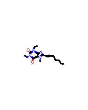 CCCCCC#Cc1nc2c(c(=O)n(CC)c(=O)n2CC)n1C